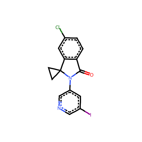 O=C1c2ccc(Cl)cc2C2(CC2)N1c1cncc(I)c1